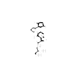 O=C(NCC(O)CO)c1cnn2ccc(N3CCCC3c3cc(F)ccc3F)c(F)c12